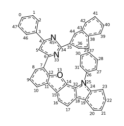 c1ccc(-c2cc(-c3cccc4c3oc3c4ccc4c5ccccc5n(-c5ccccc5)c43)nc(-c3ccc4ccccc4c3)n2)cc1